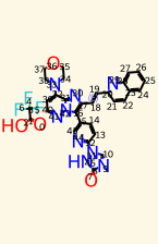 O=C(O)C(F)(F)F.O=c1ncn(-c2ccc(-c3c(/C=C/c4ccc5ccccc5n4)nc4c(N5CCOCC5)ccnn34)cn2)[nH]1